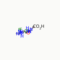 Cc1c(Nc2nc(C(F)F)nc3cc(CN4CCC[C@H]4C)cnc23)cccc1-c1cccc(NC(=O)c2nc3c(n2C)CCN(CCC24CCC(C(=O)O)(CC2)C4)C3)c1Cl